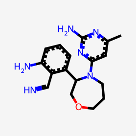 Cc1cc(N2CCCOCC2c2cccc(N)c2C=N)nc(N)n1